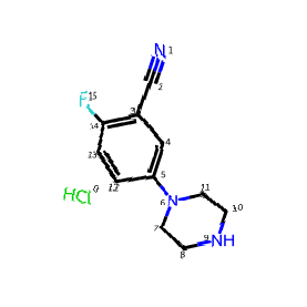 Cl.N#Cc1cc(N2CCNCC2)ccc1F